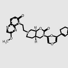 COc1cnc2ccc(=O)n(CCN3CC[C@H]4CN(C5=COC=C(C6=CC=CCC6)O5)C(=O)O[C@@H]4C3)c2n1